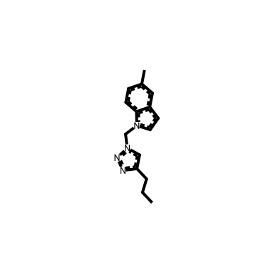 CCCc1cn(Cn2ccc3cc(C)ccc32)nn1